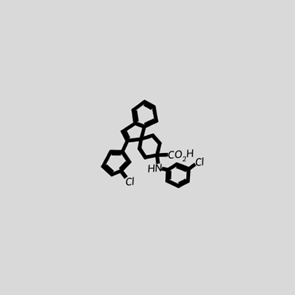 O=C(O)C1(Nc2cccc(Cl)c2)CCC2(CC1)C(c1cccc(Cl)c1)=Cc1ccccc12